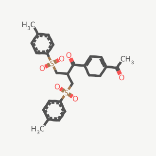 CC(=O)C1=CC=C(C(=O)C(CS(=O)(=O)c2ccc(C)cc2)CS(=O)(=O)c2ccc(C)cc2)CC1